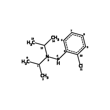 CC(C)N(Pc1ccccc1Cl)C(C)C